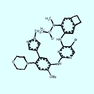 COc1cc(N2CCOCC2)c(-c2cnn(C)c2)cc1Nc1ncc(Br)c(Nc2cc3c(cc2N(C)[S+](C)[O-])CC3)n1